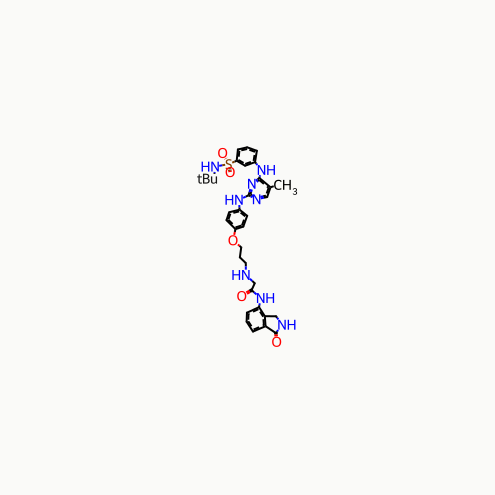 Cc1cnc(Nc2ccc(OCCCNCC(=O)Nc3cccc4c3CNC4=O)cc2)nc1Nc1cccc(S(=O)(=O)NC(C)(C)C)c1